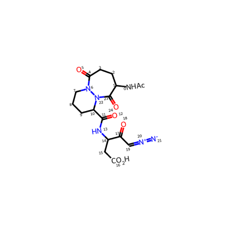 CC(=O)NC1CCC(=O)N2CCCC(C(=O)NC(CC(=O)O)C(=O)C=[N+]=[N-])N2C1=O